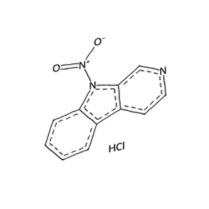 Cl.O=[N+]([O-])n1c2ccccc2c2ccncc21